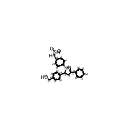 O=[SH](=O)Nc1ccc(N2N=C(c3ccccc3)CC2c2ccc(CO)cc2)cc1